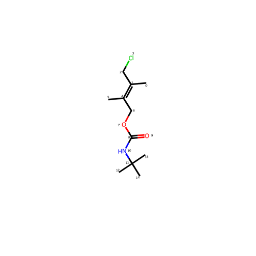 C/C(CCl)=C(/C)COC(=O)NC(C)(C)C